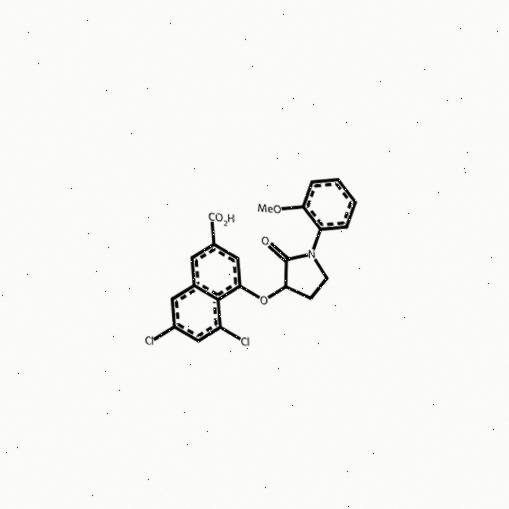 COc1ccccc1N1CCC(Oc2cc(C(=O)O)cc3cc(Cl)cc(Cl)c23)C1=O